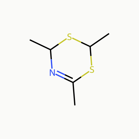 CC1=NC(C)SC(C)S1